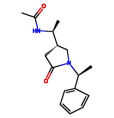 CC(=O)N[C@@H](C)[C@H]1CC(=O)N([C@@H](C)c2ccccc2)C1